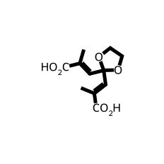 CC(=CC1(C=C(C)C(=O)O)OCCO1)C(=O)O